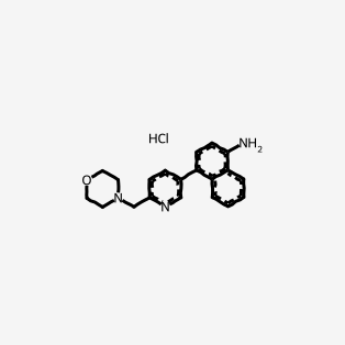 Cl.Nc1ccc(-c2ccc(CN3CCOCC3)nc2)c2ccccc12